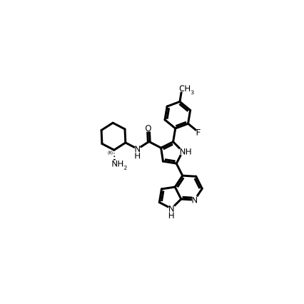 Cc1ccc(-c2[nH]c(-c3ccnc4[nH]ccc34)cc2C(=O)NC2CCCC[C@H]2N)c(F)c1